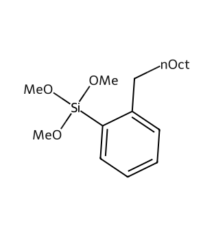 CCCCCCCCCc1ccccc1[Si](OC)(OC)OC